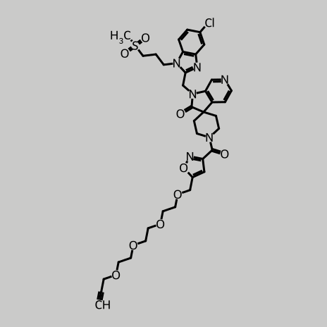 C#CCOCCOCCOCCOCc1cc(C(=O)N2CCC3(CC2)C(=O)N(Cc2nc4cc(Cl)ccc4n2CCCS(C)(=O)=O)c2cnccc23)no1